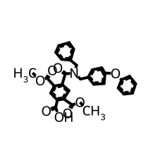 COC(=O)c1cc(C(=O)N(Cc2ccccc2)Cc2ccc(Oc3ccccc3)cc2)c(C(=O)OC)cc1C(=O)O